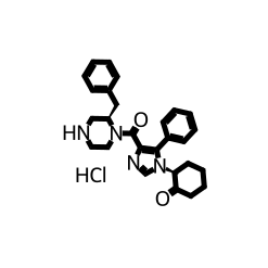 Cl.O=C1CCCC[C@@H]1n1cnc(C(=O)N2CCNC[C@H]2Cc2ccccc2)c1-c1ccccc1